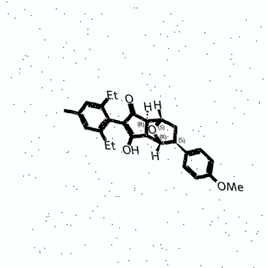 CCc1cc(C)cc(CC)c1C1=C(O)C2[C@@H](C1=O)[C@@H]1C[C@@H](c3ccc(OC)cc3)[C@H]2O1